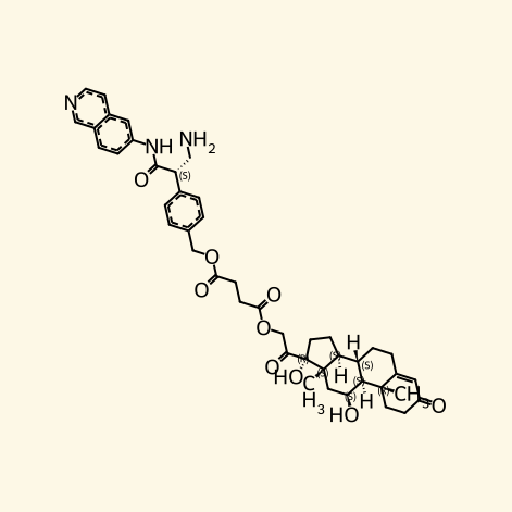 C[C@]12CCC(=O)C=C1CC[C@@H]1[C@@H]2[C@@H](O)C[C@@]2(C)[C@H]1CC[C@]2(O)C(=O)COC(=O)CCC(=O)OCc1ccc([C@@H](CN)C(=O)Nc2ccc3cnccc3c2)cc1